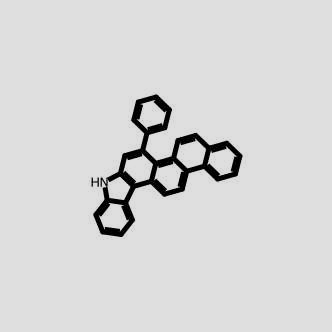 c1ccc(-c2cc3[nH]c4ccccc4c3c3ccc4c5ccccc5ccc4c23)cc1